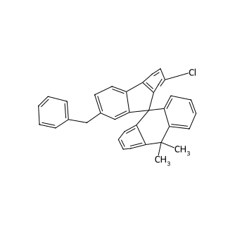 CC1(C)c2ccccc2C2(c3cc(Cl)ccc3-c3ccc(Cc4ccccc4)cc32)c2ccccc21